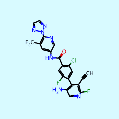 C#Cc1c(F)ncc(N)c1-c1cc(Cl)c(C(=O)Nc2cnc(-n3nccn3)c(C(F)(F)F)c2)cc1F